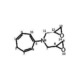 C1=CCC=CC(N(CC2CO2)C[C@@H]2CO2)=C1